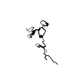 CCCCC(CC)COC(=O)CCSc1cc(C(=O)O)cc(N2CCCC2)c1